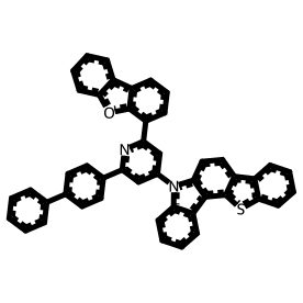 c1ccc(-c2ccc(-c3cc(-n4c5ccccc5c5c6sc7ccccc7c6ccc54)cc(-c4cccc5c4oc4ccccc45)n3)cc2)cc1